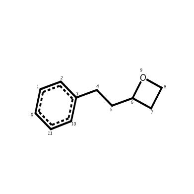 c1ccc(CCC2CCO2)cc1